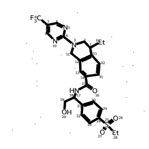 CCC1CN(c2ncc(C(F)(F)F)cn2)Cc2cc(C(=O)NC(CO)c3ccc(S(=O)(=O)CC)cc3)ccc21